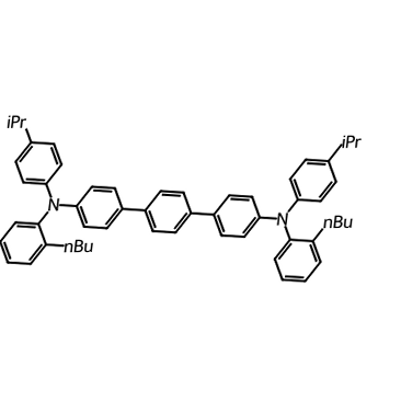 CCCCc1ccccc1N(c1ccc(-c2ccc(-c3ccc(N(c4ccc(C(C)C)cc4)c4ccccc4CCCC)cc3)cc2)cc1)c1ccc(C(C)C)cc1